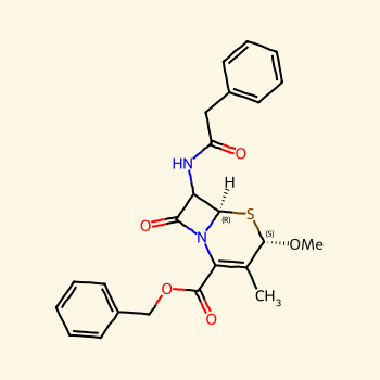 CO[C@H]1S[C@@H]2C(NC(=O)Cc3ccccc3)C(=O)N2C(C(=O)OCc2ccccc2)=C1C